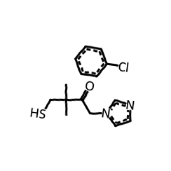 CC(C)(CS)C(=O)Cn1ccnc1.Clc1ccccc1